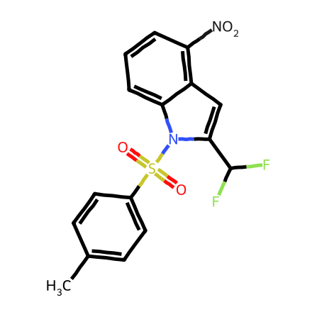 Cc1ccc(S(=O)(=O)n2c(C(F)F)cc3c([N+](=O)[O-])cccc32)cc1